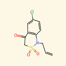 C=CCN1c2ccc(Cl)cc2C(=O)CS1(=O)=O